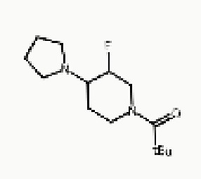 CC(C)(C)C(=O)N1CCC(N2CCCC2)C(F)C1